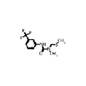 CSCN(C)C(=O)Nc1cccc(C(F)(F)F)c1